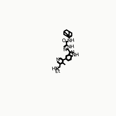 CCNCc1cncc(-c2ccc3[nH]nc(-c4ncc(C(=O)NC5C6CC7CC(C6)CC5C7)[nH]4)c3c2)c1C